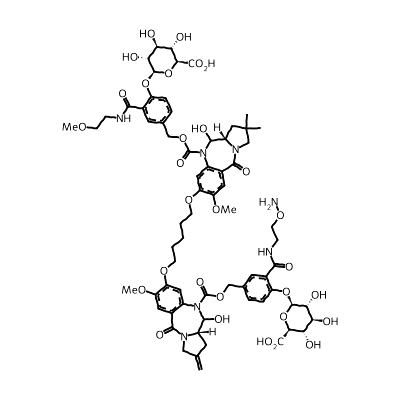 C=C1C[C@H]2C(O)N(C(=O)OCc3ccc(O[C@@H]4O[C@H](C(=O)O)[C@@H](O)[C@H](O)[C@H]4O)c(C(=O)NCCON)c3)c3cc(OCCCCCOc4cc5c(cc4OC)C(=O)N4CC(C)(C)C[C@H]4C(O)N5C(=O)OCc4ccc(O[C@@H]5O[C@H](C(=O)O)[C@@H](O)[C@H](O)[C@H]5O)c(C(=O)NCCOC)c4)c(OC)cc3C(=O)N2C1